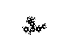 CC(c1ccc(C2(Sc3cccc(-c4ccsc4)c3)CCN(C(=O)[C@H]3CC[C@H](C)CC3)C2)cc1)(C(F)(F)F)C(F)(F)F